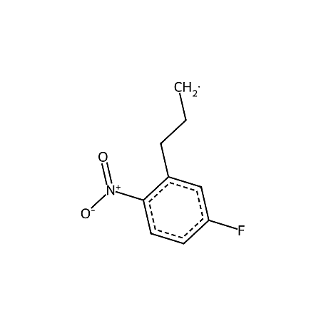 [CH2]CCc1cc(F)ccc1[N+](=O)[O-]